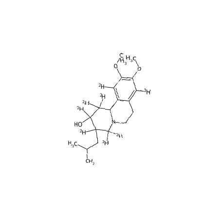 [2H]c1c2c(c([2H])c(OC)c1OC)C1N(CC2)C([2H])([2H])C([2H])(CC(C)C)C([2H])(O)C1([2H])[2H]